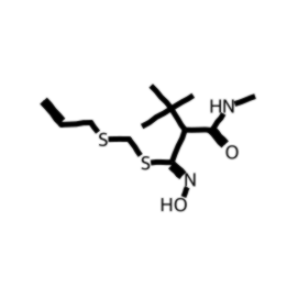 C=CCSCS/C(=N\O)C(C(=O)NC)C(C)(C)C